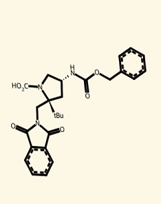 CC(C)(C)[C@]1(CN2C(=O)c3ccccc3C2=O)C[C@@H](NC(=O)OCc2ccccc2)CN1C(=O)O